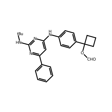 CC(C)(C)Nc1nc(Nc2ccc(C3(OC=O)CCC3)cc2)cc(-c2ccccc2)n1